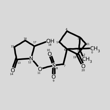 CC1(C)C2CCC1(CS(=O)(=O)ON1C(=O)CCC1O)C(=O)C2